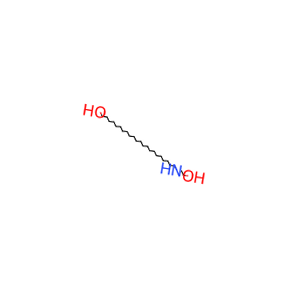 OCCCCCCCCCCCCCCCCCCCCCCNCCO